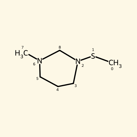 CSN1CCCN(C)C1